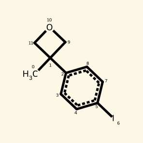 CC1(c2ccc(I)cc2)COC1